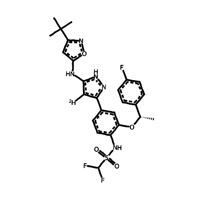 [2H]c1c(-c2ccc(NS(=O)(=O)C(F)F)c(O[C@@H](C)c3ccc(F)cc3)c2)n[nH]c1Nc1cc(C(C)(C)C)no1